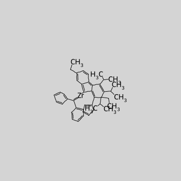 CCc1ccc2c(c1)=[C]([Zr]=[C](c1ccccc1)c1ccccc1)C1=C(C3=CC=CC3)C(CC)(C(C)C)C(C(C)C)=C(C(C)C)C=21